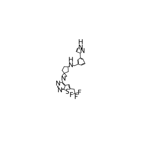 FC(F)(F)Cc1cc2c(N3CC4(CCC(NCc5cccc(-c6cc[nH]n6)c5)C4)C3)ncnc2s1